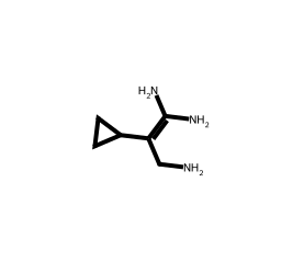 NCC(=C(N)N)C1CC1